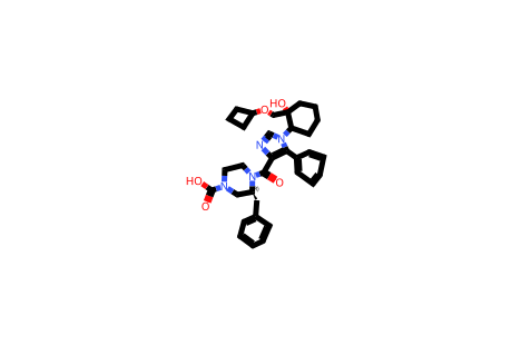 O=C(O)N1CCN(C(=O)c2ncn(C3CCCCC3(O)COC3CCC3)c2-c2ccccc2)[C@H](Cc2ccccc2)C1